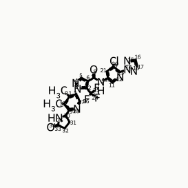 Cc1c(-n2ncc(C(=O)Nc3cnc(-n4nccn4)c(Cl)c3)c2C(F)(F)F)cnc(C2CCC(=O)N2)c1C